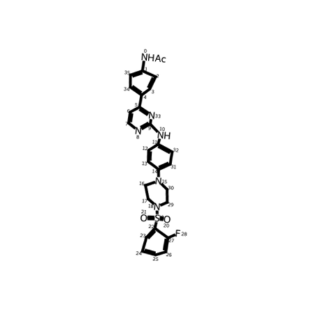 CC(=O)Nc1ccc(-c2ccnc(Nc3ccc(N4CCN(S(=O)(=O)c5ccccc5F)CC4)cc3)n2)cc1